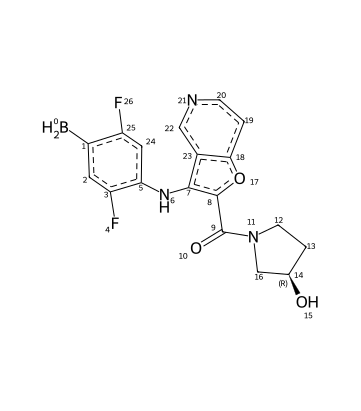 Bc1cc(F)c(Nc2c(C(=O)N3CC[C@@H](O)C3)oc3ccncc23)cc1F